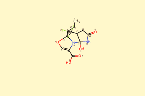 CCCC1OC=C(C(=O)O)N1C1(O)NC(=O)CC1C(F)(F)F